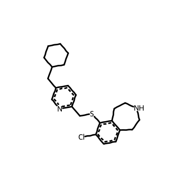 Clc1ccc2c(c1SCc1ccc(CC3CCCCC3)cn1)CCNCC2